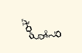 O=C(NCCc1ccccn1)C1CCN(Cc2ccn(-c3ccc(C(F)(F)CF)cc3)c2)CC1